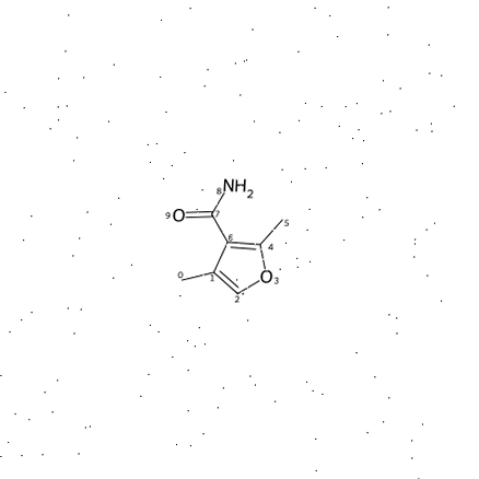 Cc1[c]oc(C)c1C(N)=O